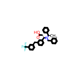 C[C@H](c1ccccc1)N(Cc1ccccc1)[C@@H](CC(=O)O)c1cccc(Cc2cccc(C(F)(F)F)c2)c1